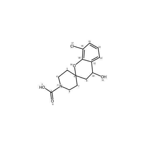 O=C(O)N1CCC2(CC1)CC(O)c1cccc(Cl)c1O2